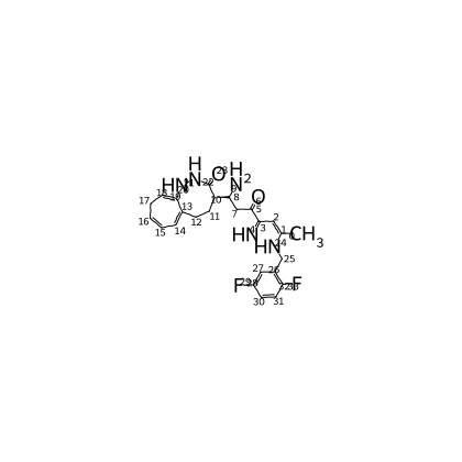 C/C(=C/C(=N)C(=O)CC(N)[C@H]1CCC2=CC=CCC=C2NNC1=O)NCc1cc(F)ccc1F